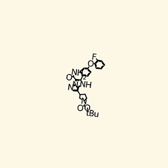 CC(C)(C)OC(=O)N1CCC(c2cnn3c(C(N)=O)c(-c4ccc(Oc5ccccc5F)cc4)[nH]c23)C1